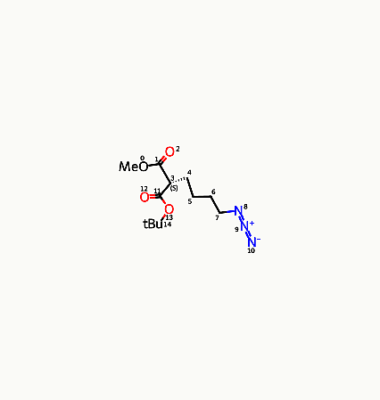 COC(=O)[C@H](CCCCN=[N+]=[N-])C(=O)OC(C)(C)C